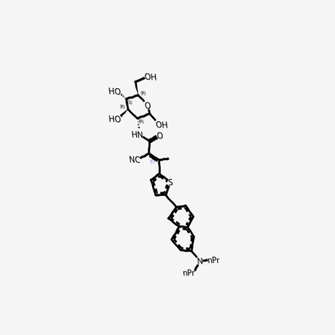 CCCN(CCC)c1ccc2cc(-c3ccc(/C(C)=C(\C#N)C(=O)N[C@H]4C(O)O[C@H](CO)[C@@H](O)[C@@H]4O)s3)ccc2c1